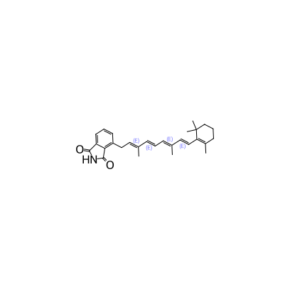 CC1=C(/C=C/C(C)=C/C=C/C(C)=C/Cc2cccc3c2C(=O)NC3=O)C(C)(C)CCC1